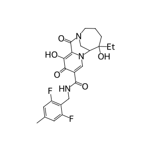 CCC1(O)CCCN2CC1n1cc(C(=O)NCc3c(F)cc(C)cc3F)c(=O)c(O)c1C2=O